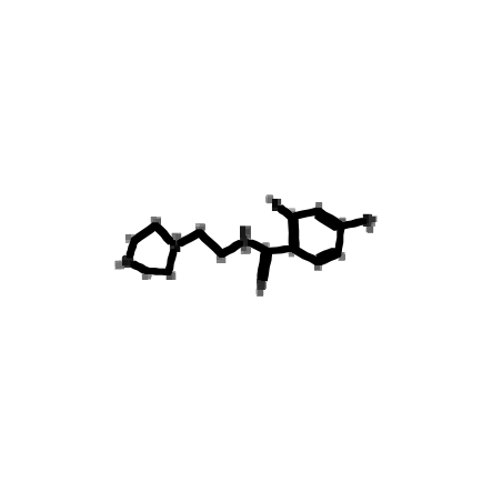 Fc1cc(Br)ccc1C(=S)NCCN1CCOCC1